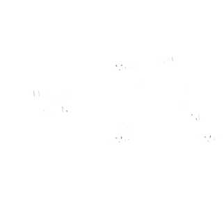 COC(=O)c1cc(NS(C)(=O)=O)ccc1C=Cc1cc(-c2ccc(OC)[nH]c2=O)cc(C(C)(C)C)c1OC